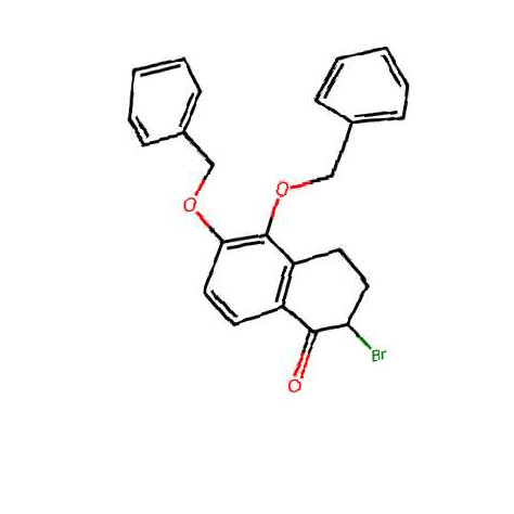 O=C1c2ccc(OCc3ccccc3)c(OCc3ccccc3)c2CCC1Br